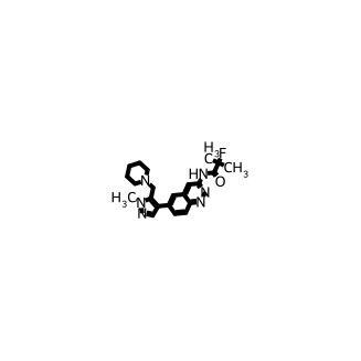 Cn1ncc(-c2ccc3nnc(NC(=O)C(C)(C)F)cc3c2)c1CN1CCCCC1